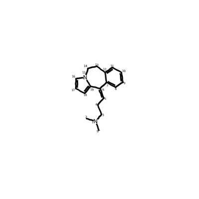 CN(C)CCC=C1c2ccccc2CCn2cccc21